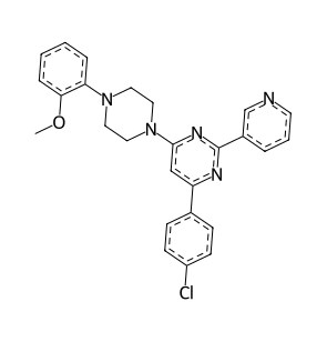 COc1ccccc1N1CCN(c2cc(-c3ccc(Cl)cc3)nc(-c3cccnc3)n2)CC1